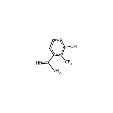 N=C(N)c1cccc(O)c1C(F)(F)F